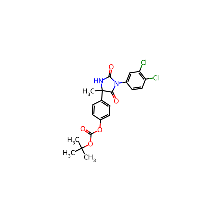 CC(C)(C)OC(=O)Oc1ccc(C2(C)NC(=O)N(c3ccc(Cl)c(Cl)c3)C2=O)cc1